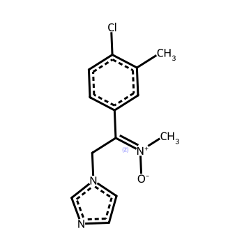 Cc1cc(/C(Cn2ccnc2)=[N+](\C)[O-])ccc1Cl